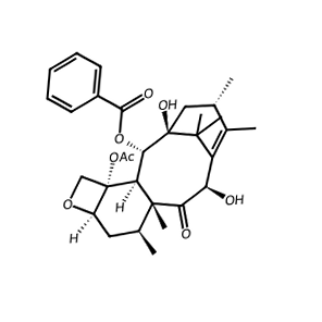 CC(=O)O[C@@]12CO[C@@H]1C[C@H](C)[C@@]1(C)C(=O)[C@H](O)C3=C(C)[C@@H](C)C[C@@](O)([C@@H](OC(=O)c4ccccc4)[C@H]21)C3(C)C